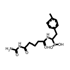 Cc1ccc(CC(NC(=O)CCCC(=O)NC(N)=O)B(O)O)cc1